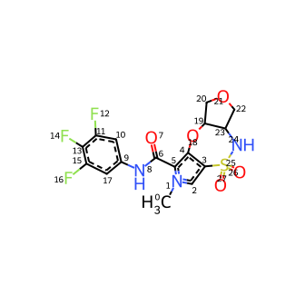 Cn1cc2c(c1C(=O)Nc1cc(F)c(F)c(F)c1)OC1COCC1NS2(=O)=O